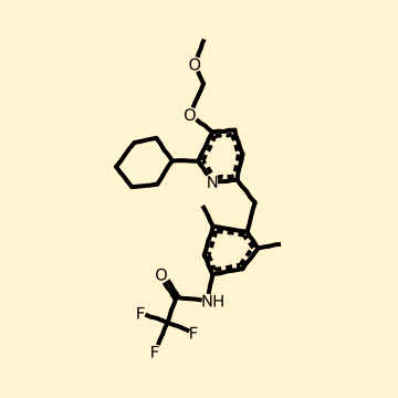 COCOc1ccc(Cc2c(C)cc(NC(=O)C(F)(F)F)cc2C)nc1C1CCCCC1